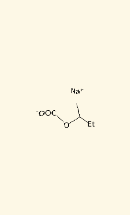 CCC(C)OC(=O)[O-].[Na+]